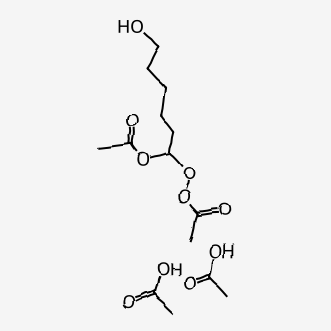 CC(=O)O.CC(=O)O.CC(=O)OOC(CCCCCO)OC(C)=O